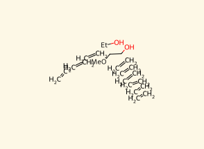 C=C.C=C.C=C.C=C.C=C.C=C.C=C.C=C.C=C.CCO.COCCO